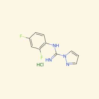 Cl.N=C(Nc1ccc(F)cc1F)n1cccn1